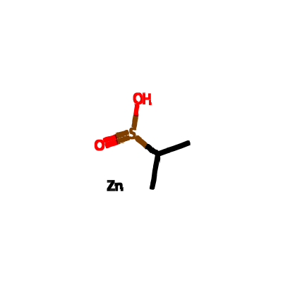 CC(C)S(=O)O.[Zn]